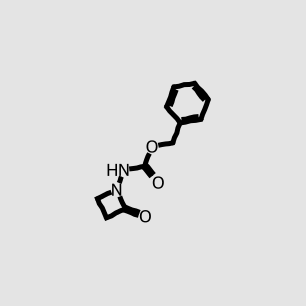 O=C(NN1CCC1=O)OCc1ccccc1